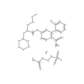 CCSCC(CC1CCCCC1)NCc1ccc(C(N)=O)c(-c2ccccc2C)c1.CS(=O)(=O)CCCC(=O)[O-].[Li+]